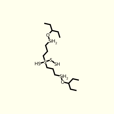 CCC(CC)O[SiH2]CCCS(S)(CCC[SiH2]OC(CC)CC)SS